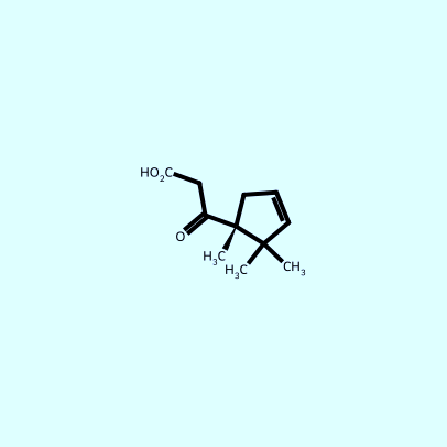 CC1(C)C=CC[C@@]1(C)C(=O)CC(=O)O